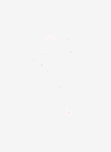 CC(C)(O)c1ncc(-c2ccc3nc4n(c3n2)C2(CCc3ccccc32)COC4)cn1